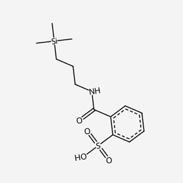 C[Si](C)(C)CCCNC(=O)c1ccccc1S(=O)(=O)O